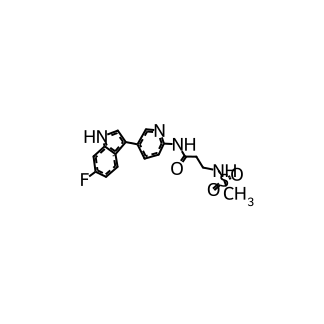 CS(=O)(=O)NCCC(=O)Nc1ccc(-c2c[nH]c3cc(F)ccc23)cn1